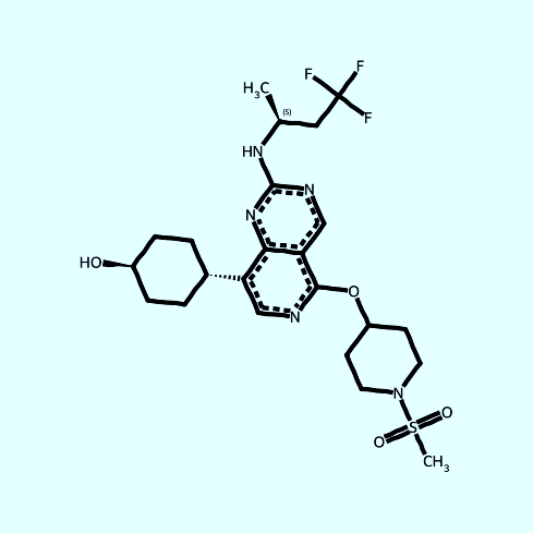 C[C@@H](CC(F)(F)F)Nc1ncc2c(OC3CCN(S(C)(=O)=O)CC3)ncc([C@H]3CC[C@H](O)CC3)c2n1